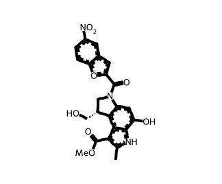 COC(=O)c1c(C)[nH]c2c(O)cc3c(c12)[C@H](CO)CN3C(=O)c1cc2cc([N+](=O)[O-])ccc2o1